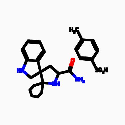 Cc1ccc(S(=O)(=O)O)cc1.NC(=O)C1CC2(CNc3ccccc32)C2(CCCCC2)N1